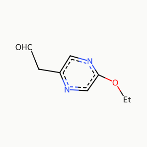 CCOc1cnc(CC=O)cn1